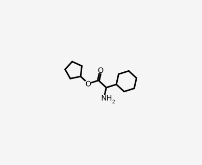 NC(C(=O)OC1CCCC1)C1CCCCC1